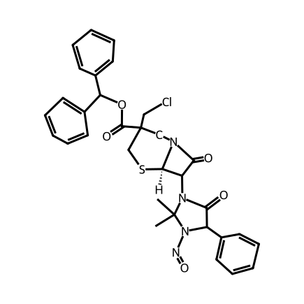 CC1(C)N(N=O)C(c2ccccc2)C(=O)N1C1C(=O)N2CC(CCl)(C(=O)OC(c3ccccc3)c3ccccc3)CS[C@H]12